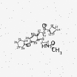 CC(=O)NCCc1cc(C(=O)c2ccccc2)cc2ccc(OC3CCCCC3)cc12